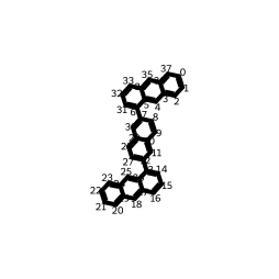 c1ccc2cc3c(-c4ccc5cc(-c6cccc7cc8ccccc8cc67)ccc5c4)cccc3cc2c1